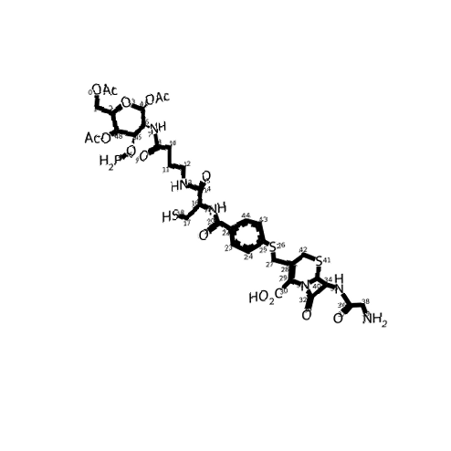 CC(=O)OCC1O[C@H](OC(C)=O)[C@H](NC(=O)CCCNC(=O)C(CS)NC(=O)c2ccc(SCC3=C(C(=O)O)N4C(=O)C(NC(=O)CN)C4SC3)cc2)[C@H](OP)C1OC(C)=O